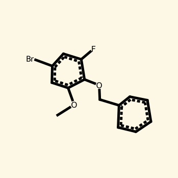 COc1cc(Br)cc(F)c1OCc1ccccc1